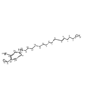 CCCCCCCCCCCCCCCCNc1ccc(C=O)c(F)c1